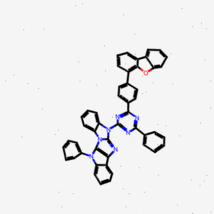 c1ccc(-c2nc(-c3ccc(-c4cccc5c4oc4ccccc45)cc3)nc(-n3c4ccccc4n4c3nc3c5ccccc5n(-c5ccccc5)c34)n2)cc1